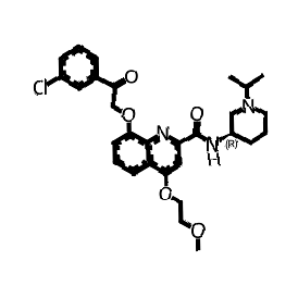 COCCOc1cc(C(=O)N[C@@H]2CCCN(C(C)C)C2)nc2c(OCC(=O)c3cccc(Cl)c3)cccc12